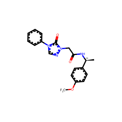 C[C@H](NC(=O)Cn1ncn(-c2ccccc2)c1=O)c1ccc(OC(F)(F)F)cc1